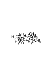 CCOP(=O)(CC)OC(C)(C)C(=O)C=CC=Cc1cc(C(C)(C)C)c(O)c(C(C)(C)C)c1